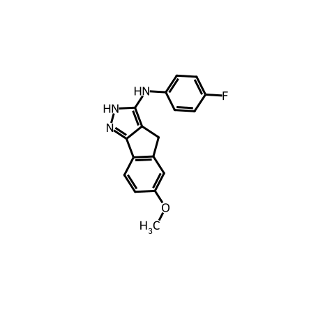 COc1ccc2c(c1)Cc1c-2n[nH]c1Nc1ccc(F)cc1